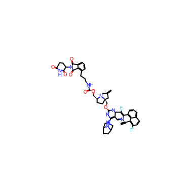 C#Cc1c(F)ccc2cccc(-c3ncc4c(N5CC6CCC(C5)N6)nc(OC[C@@]56CC[C@@H](COC(=O)NCCCc7cccc8c7C(=O)N(C7CCC(=O)NC7=O)C8=O)N5CC(=C)C6)nc4c3F)c12